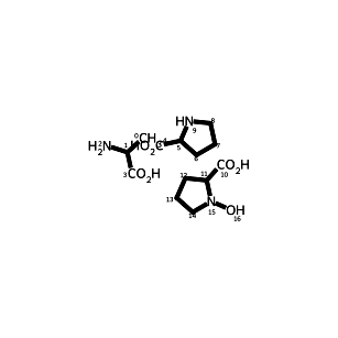 CC(N)C(=O)O.O=C(O)C1CCCN1.O=C(O)C1CCCN1O